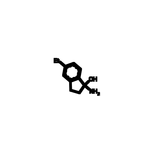 CCc1ccc2c(c1)CCC2(N)O